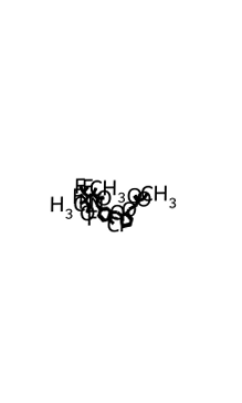 COC(=O)COc1ccccc1Oc1cc(-n2c(=O)c(C)c(C(F)(F)F)n(C)c2=O)c(F)cc1Cl